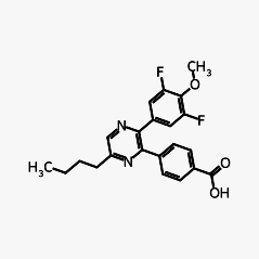 CCCCc1cnc(-c2cc(F)c(OC)c(F)c2)c(-c2ccc(C(=O)O)cc2)n1